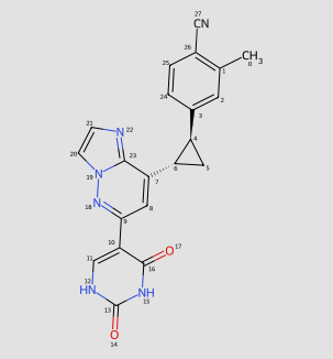 Cc1cc([C@H]2C[C@@H]2c2cc(-c3c[nH]c(=O)[nH]c3=O)nn3ccnc23)ccc1C#N